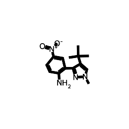 Cn1cc(C(C)(C)C)c(-c2cc([N+](=O)[O-])ccc2N)n1